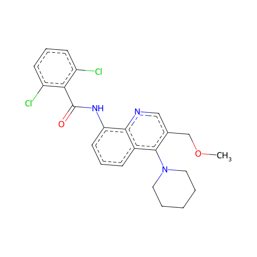 COCc1cnc2c(NC(=O)c3c(Cl)cccc3Cl)cccc2c1N1CCCCC1